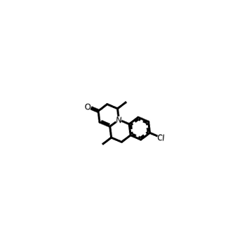 CC1Cc2cc(Cl)ccc2N2C1=CC(=O)CC2C